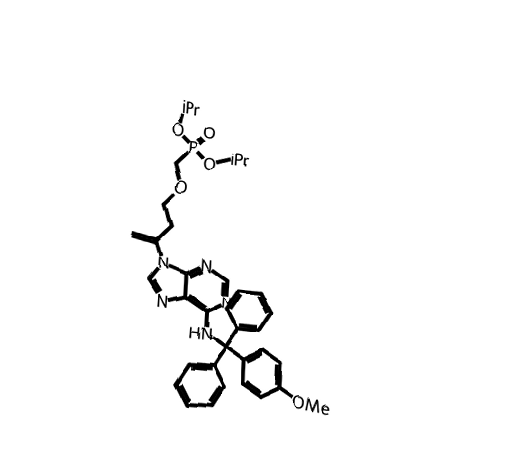 C=C(CCOCP(=O)(OC(C)C)OC(C)C)n1cnc2c(NC(c3ccccc3)(c3ccccc3)c3ccc(OC)cc3)ncnc21